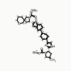 C=C1C[C@@H](c2nc(-c3ccc(-c4ccc5[nH]c([C@@H]6C[C@@]7(CCCOC7)CN6C(=O)OC(C)(C)C)nc5c4)cc3)c[nH]2)N(C(=O)OC(C)(C)C)C1